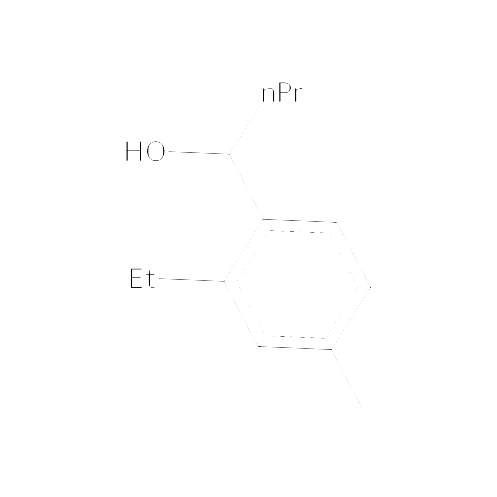 CCCC(O)c1ccc(C)cc1CC